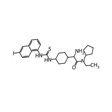 CCN(C(=O)C(N)C1CCC(NC(=S)Nc2cccc3cc(I)ccc23)CC1)C1CCCC1